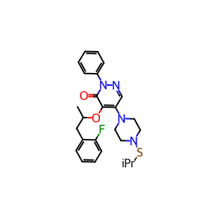 CC(Cc1ccccc1F)Oc1c(N2CCN(SC(C)C)CC2)cnn(-c2ccccc2)c1=O